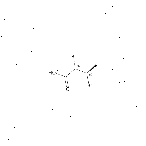 C[C@@H](Br)[C@@H](Br)C(=O)O